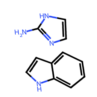 Nc1ncc[nH]1.c1ccc2[nH]ccc2c1